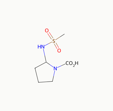 CS(=O)(=O)NC1CCCN1C(=O)O